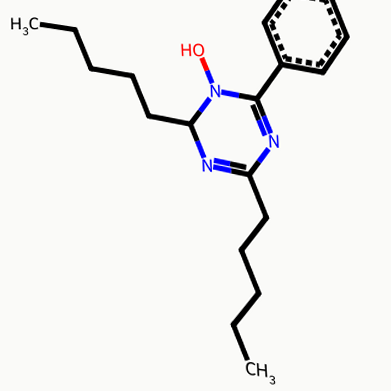 CCCCCC1=NC(CCCCC)N(O)C(c2ccccc2)=N1